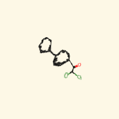 O=C(c1ccc(-c2ccccc2)cc1)C(Cl)Cl